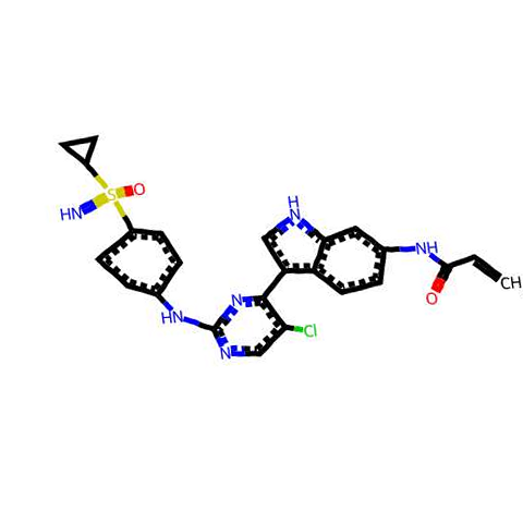 C=CC(=O)Nc1ccc2c(-c3nc(Nc4ccc(S(=N)(=O)C5CC5)cc4)ncc3Cl)c[nH]c2c1